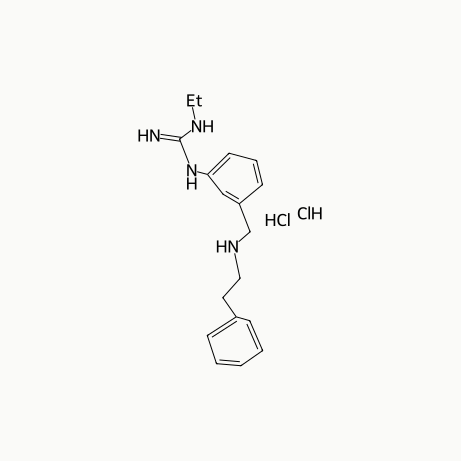 CCNC(=N)Nc1cccc(CNCCc2ccccc2)c1.Cl.Cl